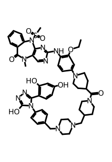 CCOc1cc(N2CCC(C(=O)N3CCC(CN4CCN(Cc5ccc(-n6c(O)nnc6-c6ccc(O)cc6O)cc5)CC4)CC3)CC2)ccc1Nc1ncc2c(n1)N(S(C)(=O)=O)c1ccccc1C(=O)N2C